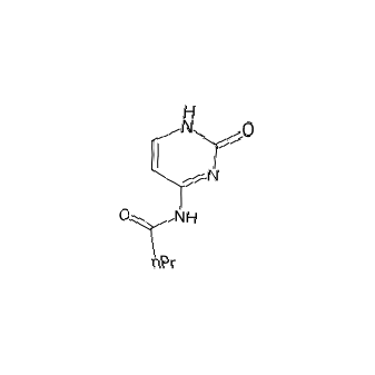 CCCC(=O)Nc1cc[nH]c(=O)n1